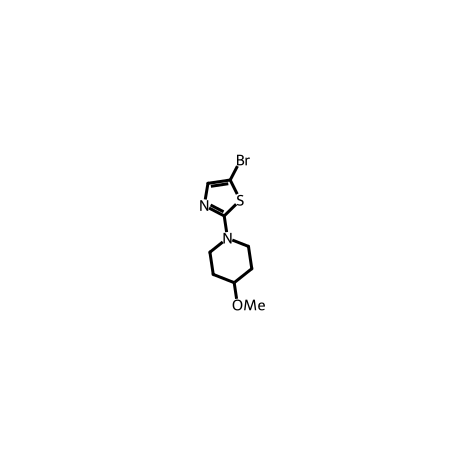 COC1CCN(c2ncc(Br)s2)CC1